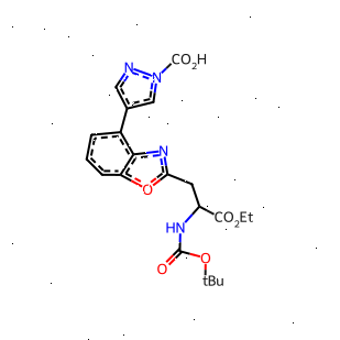 CCOC(=O)C(Cc1nc2c(-c3cnn(C(=O)O)c3)cccc2o1)NC(=O)OC(C)(C)C